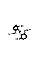 CCCSc1cccc(O)c1N=Nc1c(O)cccc1SCCC